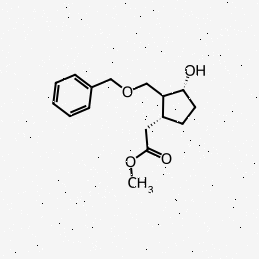 COC(=O)C[C@H]1CC[C@@H](O)C1COCc1ccccc1